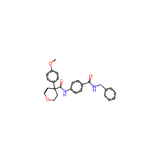 COc1ccc(C2(C(=O)Nc3ccc(C(=O)NCc4ccccc4)cc3)CCOCC2)cc1